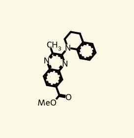 COC(=O)c1ccc2nc(C)c(N3CCCc4ccccc43)nc2c1